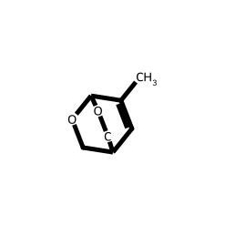 CC1=CC2COC1OC2